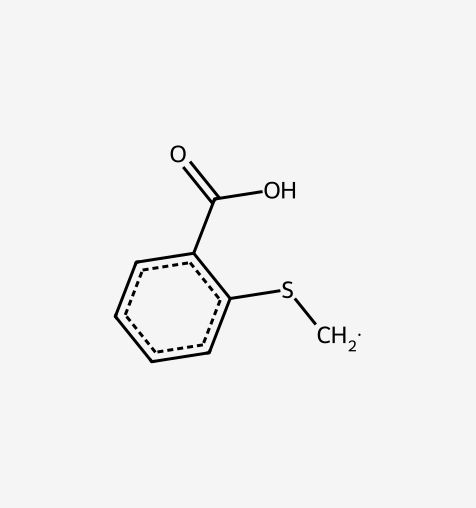 [CH2]Sc1ccccc1C(=O)O